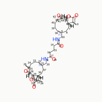 C=C1C(=O)O[C@H]2[C@H]1CC/C(CNC(=O)CCCC(=O)NC/C1=C/CC[C@@]3(C)O[C@H]3[C@H]3OC(=O)C(=C)[C@@H]3CC1)=C\CC[C@@]1(C)O[C@@H]21